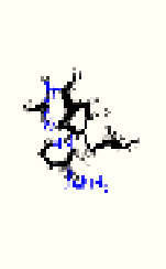 [CH2]C1=NC2=C(N3CCC[C@@H](N)C3)C(CC#CC)C=CC2=C(C)N1C